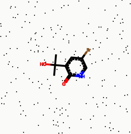 CC(C)(O)c1cc(Br)c[nH]c1=O